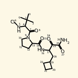 CC(C)(C)C(NCl)C(=O)N1CCCC1C(=O)NC(CC1CCC1)C(=O)C(N)=O